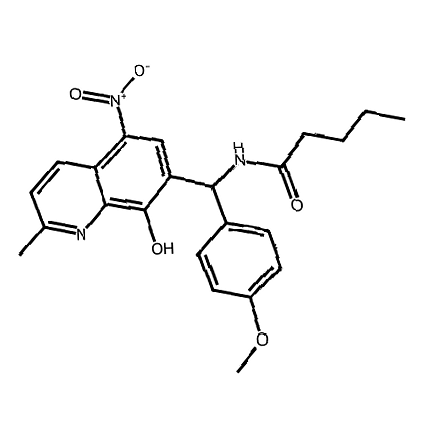 CCCCC(=O)NC(c1ccc(OC)cc1)c1cc([N+](=O)[O-])c2ccc(C)nc2c1O